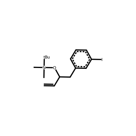 C=CC(Cc1cccc(I)c1)O[Si](C)(C)C(C)(C)C